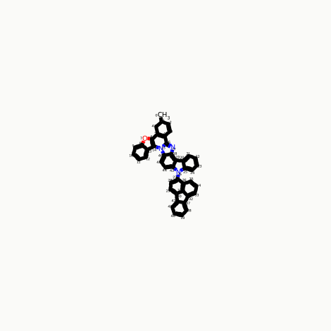 CC1C=Cc2c(c3oc4ccccc4c3n3c2nc2c4c5ccccc5n(-c5ccc6c7c(cccc57)-c5ccccc5-6)c4ccc23)C1